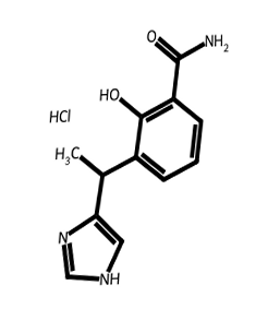 CC(c1c[nH]cn1)c1cccc(C(N)=O)c1O.Cl